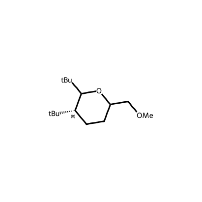 COCC1CC[C@H](C(C)(C)C)C(C(C)(C)C)O1